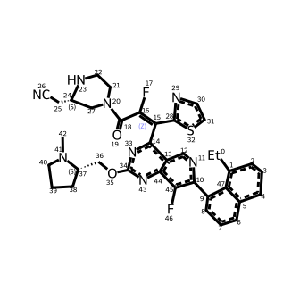 CCc1cccc2cccc(-c3ncc4c(/C(=C(/F)C(=O)N5CCN[C@@H](CC#N)C5)c5nccs5)nc(OC[C@@H]5CCCN5C)nc4c3F)c12